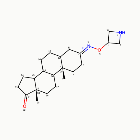 C[C@]12CC/C(=N\OC3CNC3)CC1CCC1C2CC[C@]2(C)C(=O)CCC12